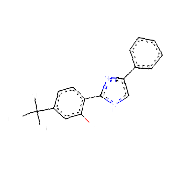 CC(C)(C)c1ccc(-c2nc(-c3ccccc3)c[nH]2)c(O)c1